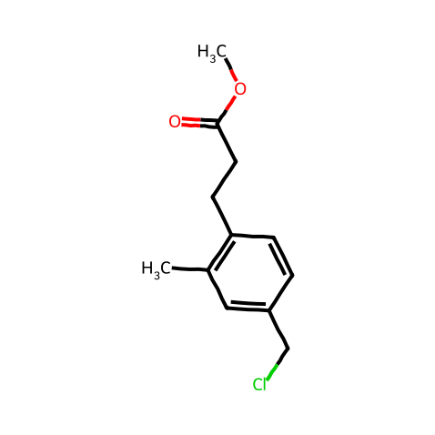 COC(=O)CCc1ccc(CCl)cc1C